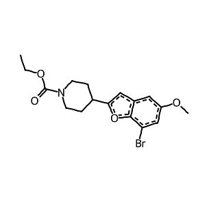 CCOC(=O)N1CCC(c2cc3cc(OC)cc(Br)c3o2)CC1